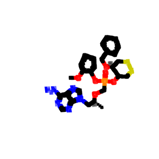 COc1ccccc1OP(=O)(CO[C@H](C)Cn1cnc2c(N)ncnc21)OC1CSSC[C@@H]1OCc1ccccc1